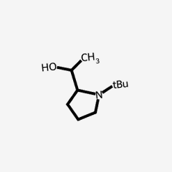 CC(O)C1CCCN1C(C)(C)C